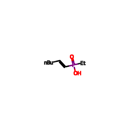 CCCCC=CP(=O)(O)CC